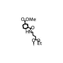 CCOC(CCCNC(=O)c1cccc(C(=O)OC)c1)OI